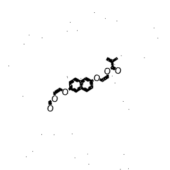 C=C(C)C(=O)O/C=C\Oc1ccc2cc(O/C=C\OC=O)ccc2c1